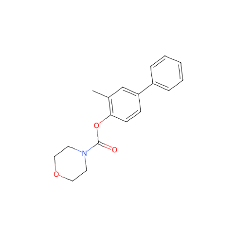 Cc1cc(-c2ccccc2)ccc1OC(=O)N1CCOCC1